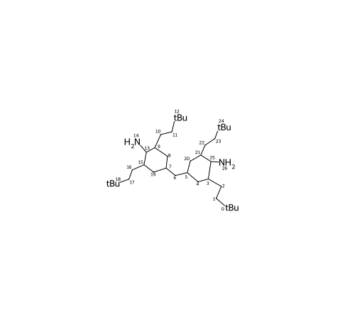 CC(C)(C)CCC1CC(CC2CC(CCC(C)(C)C)C(N)C(CCC(C)(C)C)C2)CC(CCC(C)(C)C)C1N